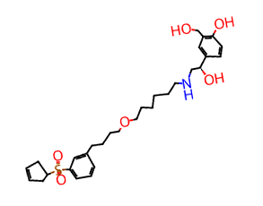 O=S(=O)(c1cccc(CCCCOCCCCCCNC[C@H](O)c2ccc(O)c(CO)c2)c1)C1CC=CC1